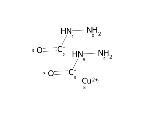 NN[C-]=O.NN[C-]=O.[Cu+2]